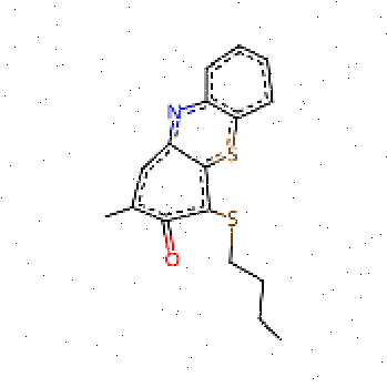 CCCCSc1c2sc3ccccc3nc-2cc(C)c1=O